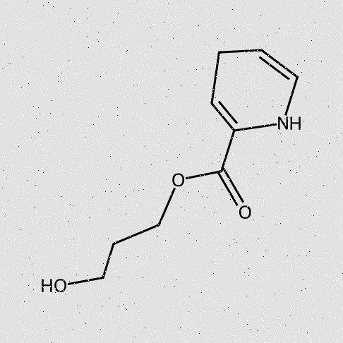 O=C(OCCCO)C1=CCC=CN1